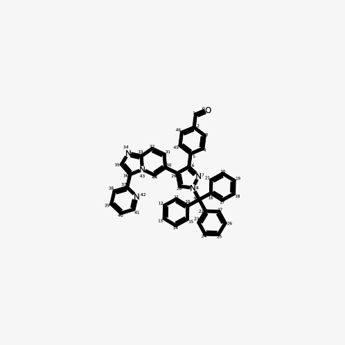 O=Cc1ccc(-c2nn(C(c3ccccc3)(c3ccccc3)c3ccccc3)cc2-c2ccc3ncc(-c4ccccn4)n3c2)cc1